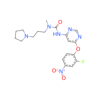 CN(CCCN1CCCC1)C(=O)Nc1cc(Oc2ccc([N+](=O)[O-])cc2F)ncn1